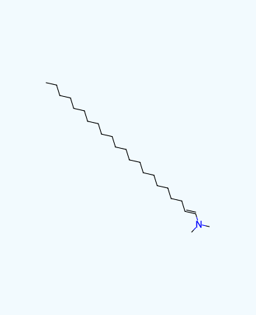 CCCCCCCCCCCCCCCCCCCCC=CN(C)C